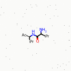 CC(=O)[C@@H](NC(=O)C(N)C(C)C)C(C)C